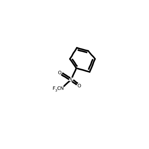 O=S(=O)(NC(F)(F)F)c1ccccc1